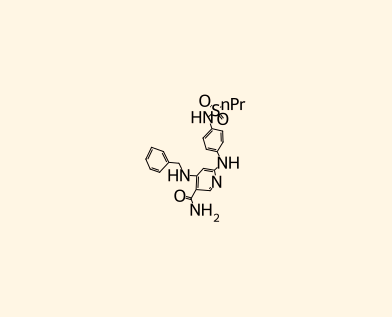 CCCS(=O)(=O)Nc1ccc(Nc2cc(NCc3ccccc3)c(C(N)=O)cn2)cc1